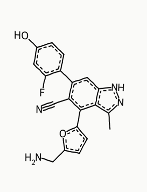 Cc1n[nH]c2cc(-c3ccc(O)cc3F)c(C#N)c(-c3ccc(CN)o3)c12